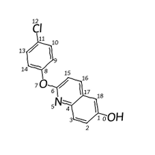 Oc1ccc2nc(Oc3ccc(Cl)cc3)ccc2c1